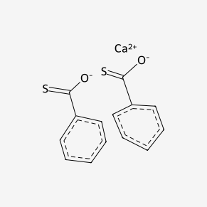 [Ca+2].[O-]C(=S)c1ccccc1.[O-]C(=S)c1ccccc1